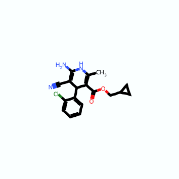 CC1=C(C(=O)OCC2CC2)C(c2ccccc2Cl)C(C#N)=C(N)N1